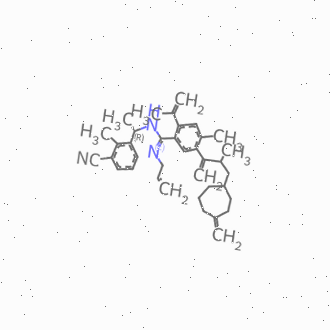 C=CC/N=C(/N[C@H](C)c1cccc(C#N)c1C)c1cc(C(=C)C(C)CC2CCCC(=C)CC2)c(C)cc1C(=C)C